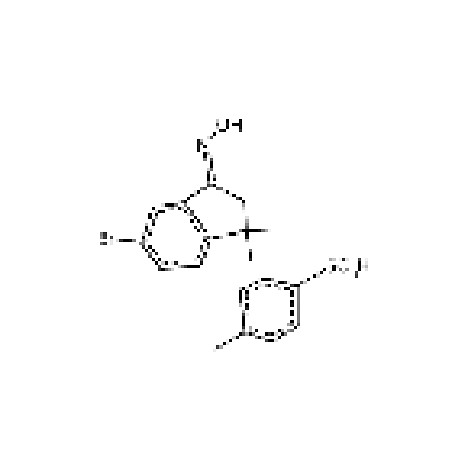 CC1(C)C/C(=N\O)c2cc(Br)ccc21.Cc1ccc(S(=O)(=O)O)cc1